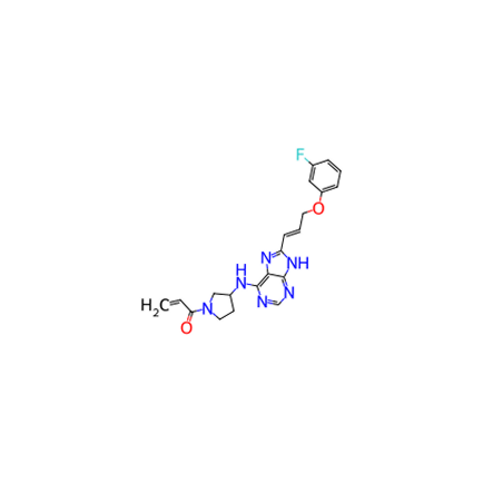 C=CC(=O)N1CCC(Nc2ncnc3[nH]c(/C=C/COc4cccc(F)c4)nc23)C1